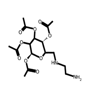 CC(=O)OC1C(OC(C)=O)[C@H](OC(C)=O)C(CNCCN)O[C@H]1OC(C)=O